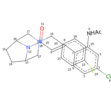 CC(=O)Nc1cc(Cl)ccc1C=CC(=O)N1C2CCC1CN(Cc1ccc(F)cc1)C2